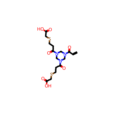 C=CC(=O)N1CN(C(=O)CCSCC(=O)O)CN(C(=O)CCSCC(=O)O)C1